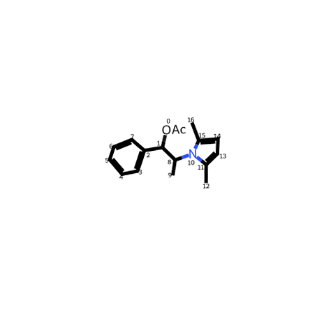 CC(=O)OC(c1ccccc1)C(C)n1c(C)ccc1C